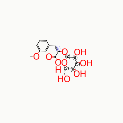 COc1cccc(/C=C(/O[C@H]2O[C@@H](CO)[C@H](O)[C@H](O)[C@H]2O)C(=O)O)c1